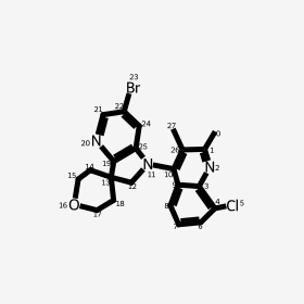 Cc1nc2c(Cl)cccc2c(N2CC3(CCOCC3)c3ncc(Br)cc32)c1C